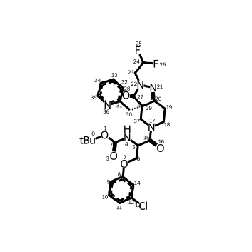 CC(C)(C)OC(=O)NC(COc1cccc(Cl)c1)C(=O)N1CCC2=NN(CC(F)F)C(=O)[C@]2(Cc2ccccn2)C1